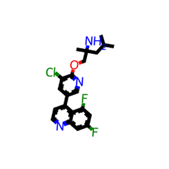 CC(C)CC(C)(N)COc1ncc(-c2ccnc3cc(F)cc(F)c23)cc1Cl